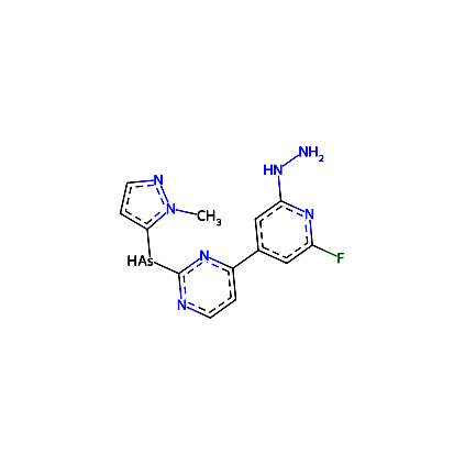 Cn1nccc1[AsH]c1nccc(-c2cc(F)nc(NN)c2)n1